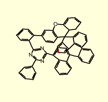 C1=CCC2C(=C1)Oc1cc(-c3ccccc3-c3nc(-c4ccccc4)nc(-c4ccc(-c5ccccc5)c5ccccc45)n3)ccc1C21c2ccccc2-c2ccccc21